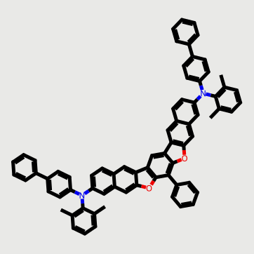 Cc1cccc(C)c1N(c1ccc(-c2ccccc2)cc1)c1ccc2cc3c(cc2c1)oc1c(-c2ccccc2)c2oc4cc5cc(N(c6ccc(-c7ccccc7)cc6)c6c(C)cccc6C)ccc5cc4c2cc13